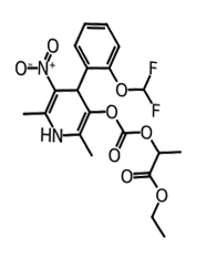 CCOC(=O)C(C)OC(=O)OC1=C(C)NC(C)=C([N+](=O)[O-])C1c1ccccc1OC(F)F